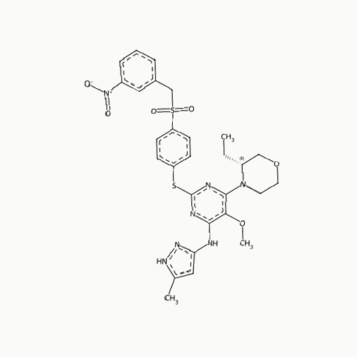 CC[C@@H]1COCCN1c1nc(Sc2ccc(S(=O)(=O)Cc3cccc([N+](=O)[O-])c3)cc2)nc(Nc2cc(C)[nH]n2)c1OC